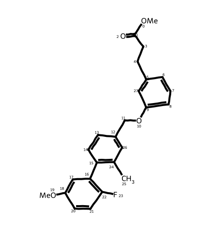 COC(=O)CCc1cccc(OCc2ccc(-c3cc(OC)ccc3F)c(C)c2)c1